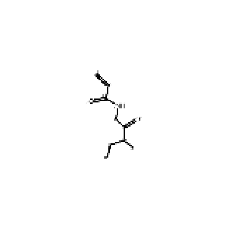 C=CC(=O)NCC(=O)C(C)CC